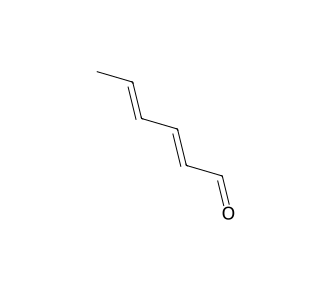 CC=CC=CC=O